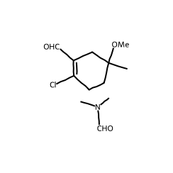 CN(C)C=O.COC1(C)CCC(Cl)=C(C=O)C1